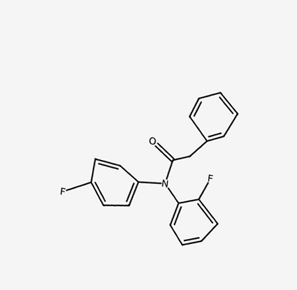 O=C(Cc1ccccc1)N(c1ccc(F)cc1)c1ccccc1F